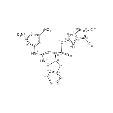 O=C(Nc1cc([N+](=O)[O-])cc([N+](=O)[O-])c1)N[C@H]1c2ccccc2C[C@@H]1NC(=O)Oc1cc2sc(Cl)c(Cl)c2[nH]1